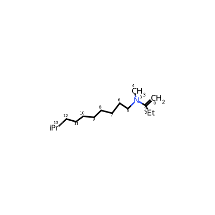 C=C(CC)N(C)CCCCCCCCC(C)C